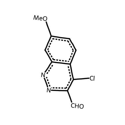 COc1ccc2c(Cl)c(C=O)nnc2c1